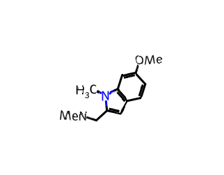 CNCc1cc2ccc(OC)cc2n1C